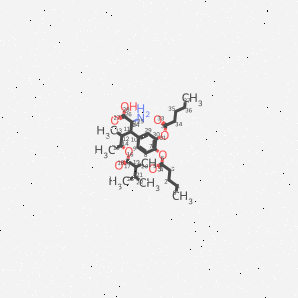 CCCCC(=O)Oc1ccc(C(C(C)C(C)OC(=O)C(C)C(C)C)[C@H](N)C(=O)O)cc1OC(=O)CCCC